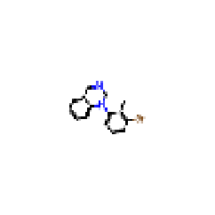 Cc1c(Br)cccc1N1CN=Cc2ccccc21